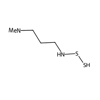 CNCCCNSS